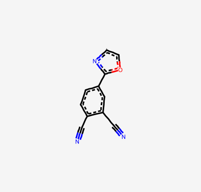 N#Cc1ccc(-c2n[c]co2)cc1C#N